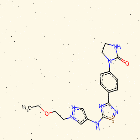 CCOCCn1cc(Nc2nc(-c3ccc(N4CCNC4=O)cc3)ns2)cn1